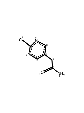 NC(=O)Cc1cnc(Cl)nc1